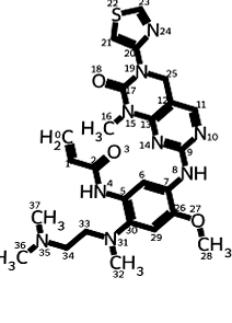 C=CC(=O)Nc1cc(Nc2ncc3c(n2)N(C)C(=O)N(c2cscn2)C3)c(OC)cc1N(C)CCN(C)C